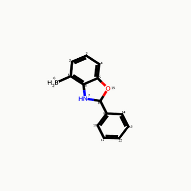 Bc1cccc2c1NC(c1ccccc1)O2